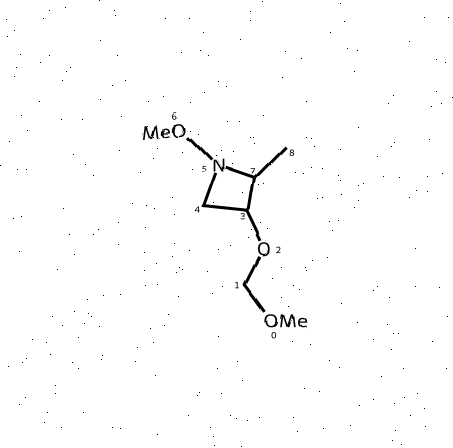 COCOC1CN(OC)C1C